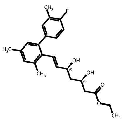 CCOC(=O)C[C@H](O)C[C@H](O)C=Cc1c(C)cc(C)cc1-c1ccc(F)c(C)c1